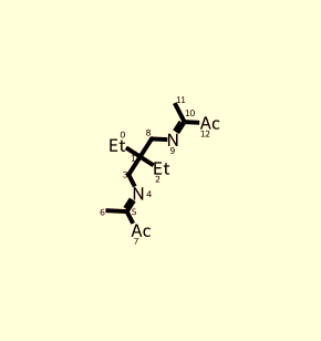 CCC(CC)(CN=C(C)C(C)=O)CN=C(C)C(C)=O